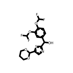 OC(c1ccc(OC(F)F)c(OC(F)F)c1)c1ncc(C2OCCCO2)s1